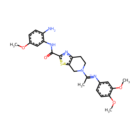 COc1ccc(N)c(NC(=O)c2nc3c(s2)CN(/C(C)=N/c2ccc(OC)c(OC)c2)CC3)c1